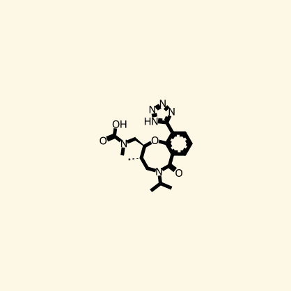 CC(C)N1C[C@H](C)[C@@H](CN(C)C(=O)O)Oc2c(cccc2-c2nnn[nH]2)C1=O